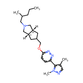 CCCC(C)CN1C[C@H]2CC(COc3ccc(-c4c(C)cnn4C)nn3)C[C@H]2C1